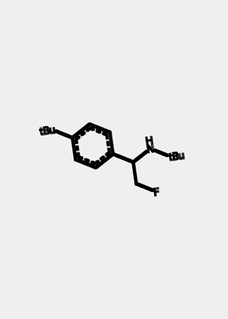 CC(C)(C)NC(CF)c1ccc(C(C)(C)C)cc1